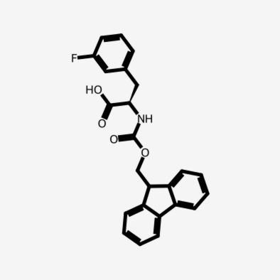 O=C(N[C@H](Cc1cccc(F)c1)C(=O)O)OCC1c2ccccc2-c2ccccc21